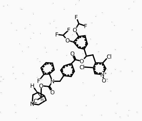 O=C(OC(Cc1c(Cl)c[n+]([O-])cc1Cl)c1ccc(OC(F)F)c(OC(F)F)c1)c1ccc(CN(C(=O)O[C@H]2CN3CCC2CC3)c2ccccc2F)cc1